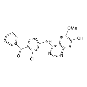 COc1cc2c(Nc3ccc(C(=O)c4ccccc4)c(Cl)c3)ncnc2cc1O